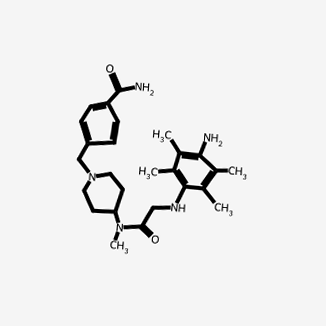 Cc1c(C)c(NCC(=O)N(C)C2CCN(Cc3ccc(C(N)=O)cc3)CC2)c(C)c(C)c1N